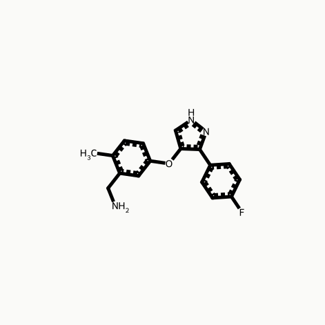 Cc1ccc(Oc2c[nH]nc2-c2ccc(F)cc2)cc1CN